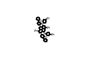 CC(C)c1ccc(N(c2cc3c(C(C)C)cc(N(c4ccc(C(C)C)cc4)c4cccc5c4oc4ccccc45)c4ccc5c(C(C)C)ccc2c5c34)c2cccc3c2oc2ccccc23)cc1